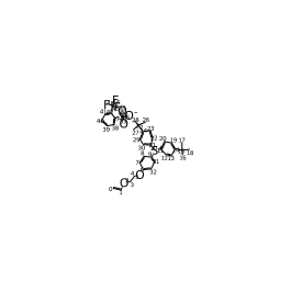 C=COCCOc1ccc([S+](c2ccc(C(C)(C)C)cc2)c2ccc(C(C)(C)C)cc2)cc1.O=S(=O)([O-])c1ccccc1C(F)(F)F